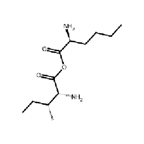 CCCC[C@H](N)C(=O)OC(=O)[C@H](N)[C@H](C)CC